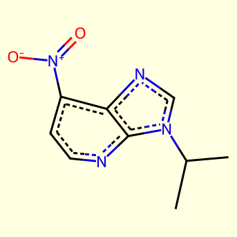 CC(C)n1cnc2c([N+](=O)[O-])ccnc21